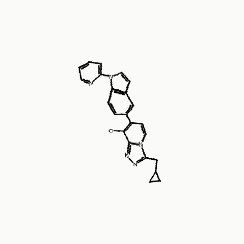 Clc1c(-c2ccc3c(ccn3-c3ccccn3)c2)ccn2c(CC3CC3)nnc12